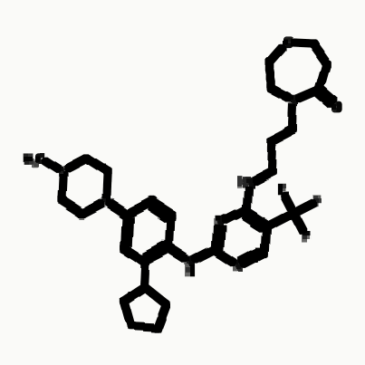 CN1CCN(c2ccc(Nc3ncc(C(F)(F)F)c(NCCCN4CCOCCC4=O)n3)c(C3CCCC3)c2)CC1